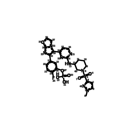 Cn1ccc(S(=O)(=O)N2CCCC(Nc3nccc(-c4c(-c5ccc(F)c(OP(=O)(O)O)c5)nc5occn45)n3)C2)n1